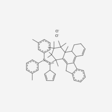 Cc1cccc([Si](c2cccc(C)c2)=[Zr+2]([CH]2C=CC=C2)[C]2(C)C3=C4Cc5ccccc5C4=C4C=CCCC4C3(C)C(C)(C)C(C)(C)C2(C)C)c1.[Cl-].[Cl-]